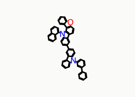 c1ccc(-c2cccc(-n3c4ccccc4c4cc(-c5ccc6c(c5)c5ccc7oc8ccccc8c7c5n6-c5cccc6ccccc56)ccc43)c2)cc1